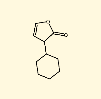 O=C1OC=CC1C1CCCCC1